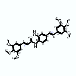 COc1cc(/C=C/C(=O)Nc2ccc(/C=C/c3cc(OC)c(OC)c(OC)c3)cc2O)cc(OC)c1OC